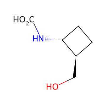 O=C(O)N[C@@H]1CC[C@H]1CO